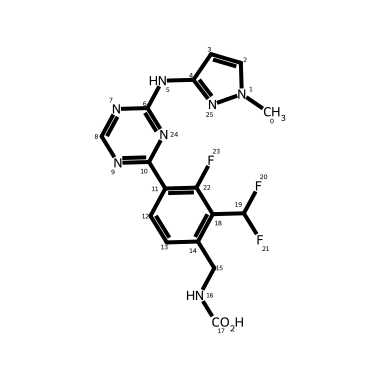 Cn1ccc(Nc2ncnc(-c3ccc(CNC(=O)O)c(C(F)F)c3F)n2)n1